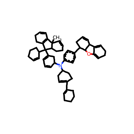 CC12C=CCCC1C(C1=CC=CC(N(c3ccc(C4CC=CC5C6=CCCC=C6OC54)cc3)C3CC=C(C4=CCCCC4)CC3)C1)(C1C=CCCC1)C1=C2C=CCC1